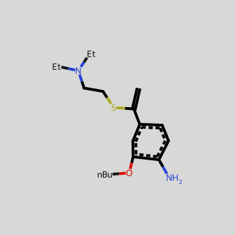 C=C(SCCN(CC)CC)c1ccc(N)c(OCCCC)c1